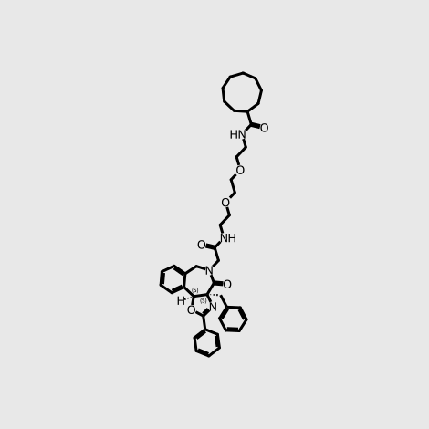 O=C(CN1Cc2ccccc2[C@@H]2OC(c3ccccc3)=N[C@]2(Cc2ccccc2)C1=O)NCCOCCOCCNC(=O)C1CCCCCCCC1